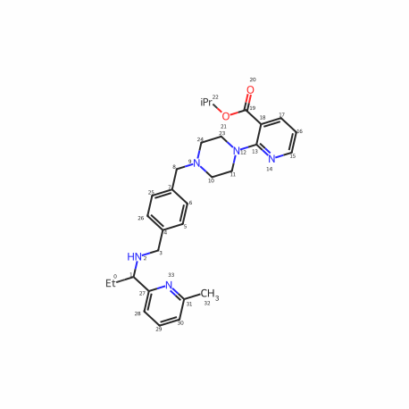 CCC(NCc1ccc(CN2CCN(c3ncccc3C(=O)OC(C)C)CC2)cc1)c1cccc(C)n1